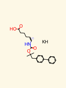 CC(C)(Cc1ccc(-c2ccccc2)cc1)OC(=O)N/C=C\CCCC(=O)O.[KH]